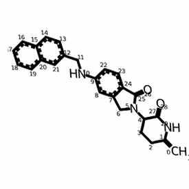 C=C1CCC(N2Cc3cc(NCc4ccc5ccccc5c4)ccc3C2=O)C(=O)N1